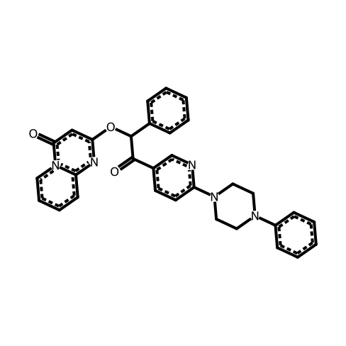 O=C(c1ccc(N2CCN(c3ccccc3)CC2)nc1)C(Oc1cc(=O)n2ccccc2n1)c1ccccc1